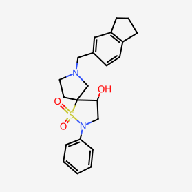 O=S1(=O)N(c2ccccc2)CC(O)C12CCN(Cc1ccc3c(c1)CCC3)C2